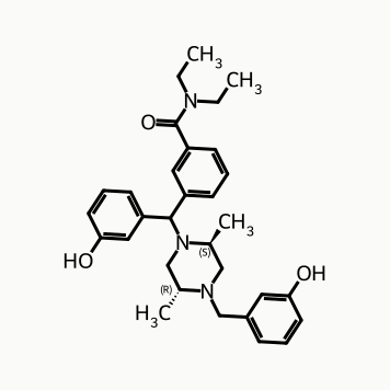 CCN(CC)C(=O)c1cccc(C(c2cccc(O)c2)N2C[C@@H](C)N(Cc3cccc(O)c3)C[C@@H]2C)c1